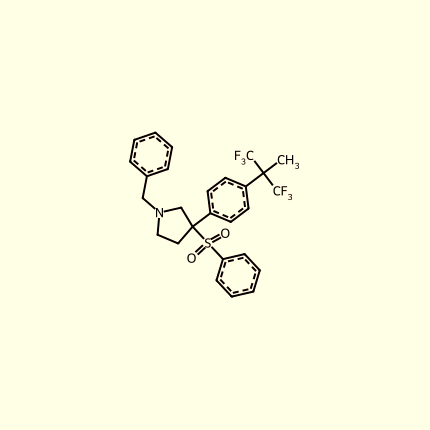 CC(c1ccc(C2(S(=O)(=O)c3ccccc3)CCN(Cc3ccccc3)C2)cc1)(C(F)(F)F)C(F)(F)F